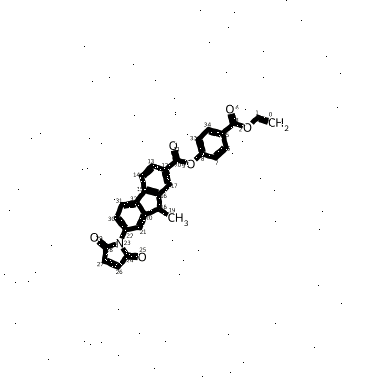 C=COC(=O)c1ccc(OC(=O)c2ccc3c(c2)C(C)c2cc(N4C(=O)C=CC4=O)ccc2-3)cc1